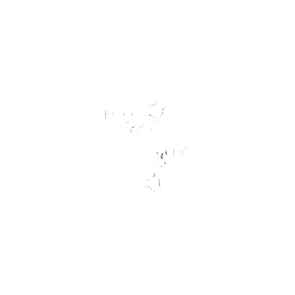 CCOC(=O)C(C(=O)CCCCN(C=O)OCc1ccccc1)c1ccccc1